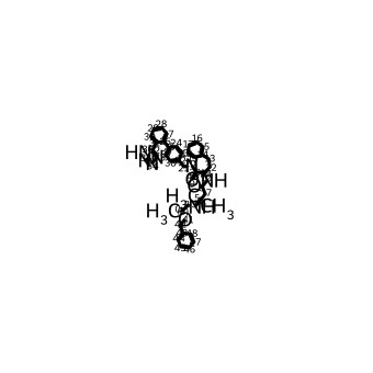 C[C@@H](CNC(C)(C)CC(=O)N[C@@H]1CCc2ccccc2N(Cc2ccc(-c3ccccc3-c3nnn[nH]3)cc2)C1=O)OCc1ccccc1